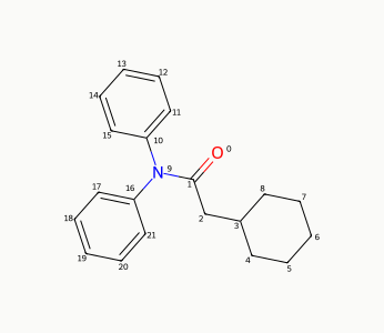 O=C(CC1CCCCC1)N(c1ccccc1)c1ccccc1